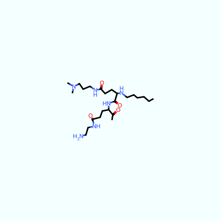 CCCCCCNC(CCC(=O)NCCCN(C)C)C(=O)NC(CCC(=O)NCCN)C(C)=O